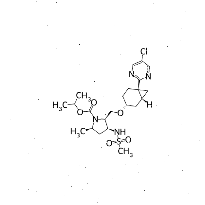 CC(C)OC(=O)N1[C@H](C)C[C@H](NS(C)(=O)=O)[C@@H]1CO[C@@H]1CC[C@]2(c3ncc(Cl)cn3)C[C@@H]2C1